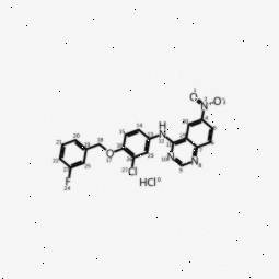 Cl.O=[N+]([O-])c1ccc2ncnc(Nc3ccc(OCc4cccc(F)c4)c(Cl)c3)c2c1